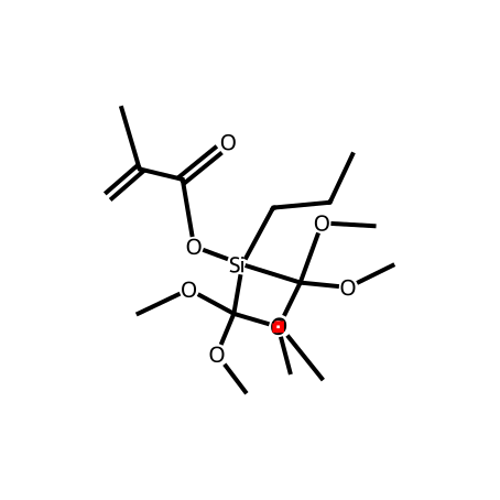 C=C(C)C(=O)O[Si](CCC)(C(OC)(OC)OC)C(OC)(OC)OC